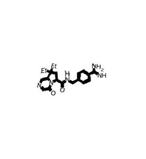 CCC1(CC)CC(C(=O)NCc2ccc(C(=N)N)cc2)n2c1cncc2=O